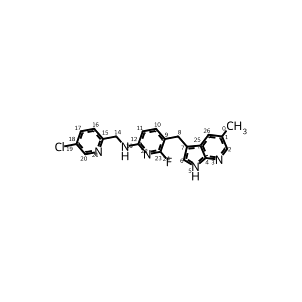 Cc1cnc2[nH]cc(Cc3ccc(NCc4ccc(Cl)cn4)nc3F)c2c1